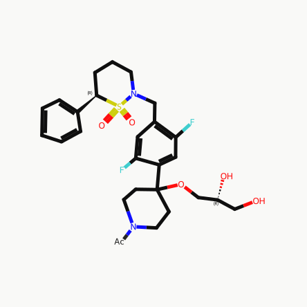 CC(=O)N1CCC(OC[C@H](O)CO)(c2cc(F)c(CN3CCC[C@H](c4ccccc4)S3(=O)=O)cc2F)CC1